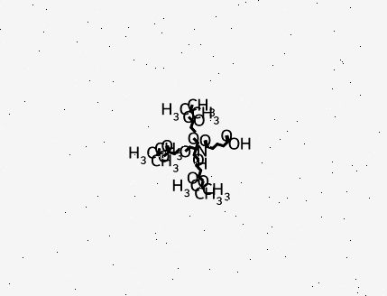 CC(C)(C)OC(=O)CCOCC(COCCC(=O)OC(C)(C)C)(COCCC(=O)OC(C)(C)C)NC(=O)CCCC(=O)O